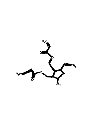 C=CC(=O)OCC1C(C)CC(C=C)C1COC(=O)C=C